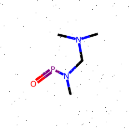 CN(C)CN(C)P=O